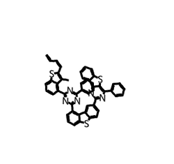 C=C/C=C\c1sc2cccc(-c3nc(-c4ccccc4)nc(-c4cccc5sc6ccc(-c7nc(-c8ccccc8)c8sc9ccccc9c8n7)cc6c45)n3)c2c1C